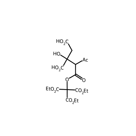 CCOC(=O)C(OC(=O)C(C(C)=O)C(O)(CC(=O)O)C(=O)O)(C(=O)OCC)C(=O)OCC